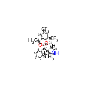 Cc1ccccc1[C@@H]1C(O[C@H](C)c2cc(C(F)(F)F)cc(C(F)(F)F)c2)OC[C@@H]2CNC[C@H]21